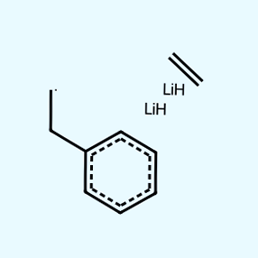 C=C.[CH2]Cc1ccccc1.[LiH].[LiH]